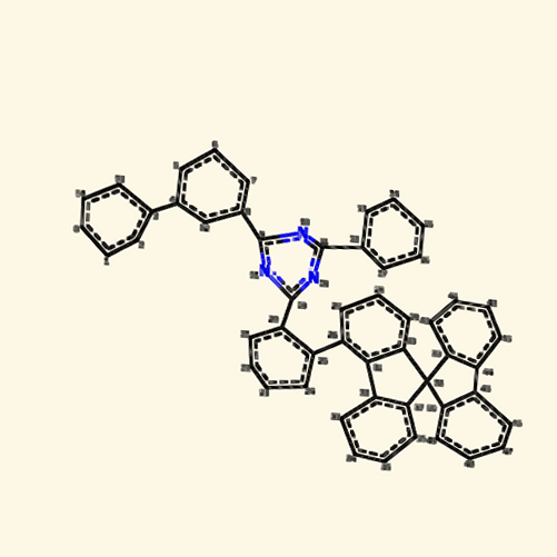 c1ccc(-c2cccc(-c3nc(-c4ccccc4)nc(-c4ccccc4-c4cccc5c4-c4ccccc4C54c5ccccc5-c5ccccc54)n3)c2)cc1